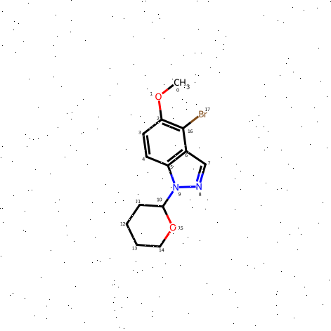 COc1ccc2c(cnn2C2CCCCO2)c1Br